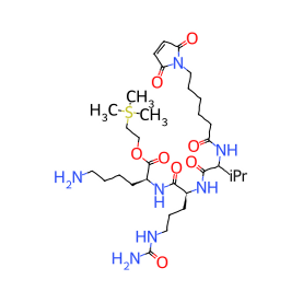 CC(C)C(NC(=O)CCCCCN1C(=O)C=CC1=O)C(=O)N[C@@H](CCCNC(N)=O)C(=O)N[C@@H](CCCCN)C(=O)OCCS(C)(C)C